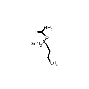 CCCSOC(N)=O.[SnH2]